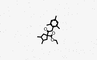 CCOC(=O)C1(C(=O)Cc2c(C)cc(C)cc2C)CC(C)C(C)C1